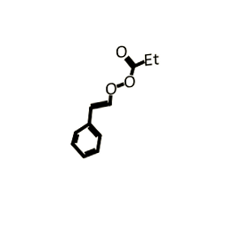 CCC(=O)OOC=Cc1ccccc1